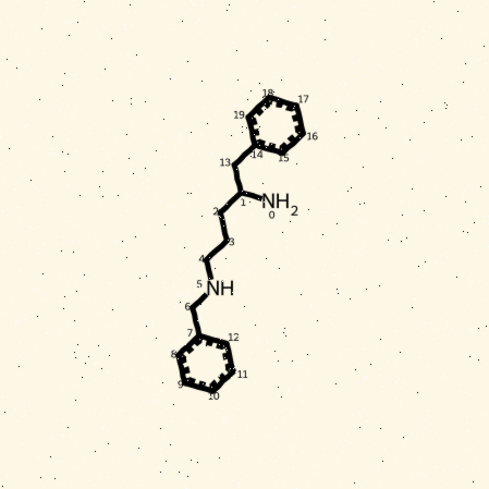 NC(CCCNCc1ccccc1)Cc1ccccc1